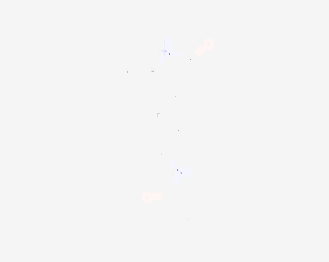 O=C(NCCc1cccc2[nH]c(=O)sc12)C(F)(F)F